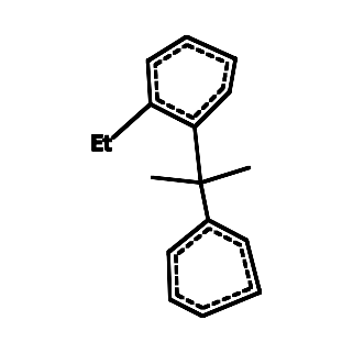 CCc1ccccc1C(C)(C)c1ccccc1